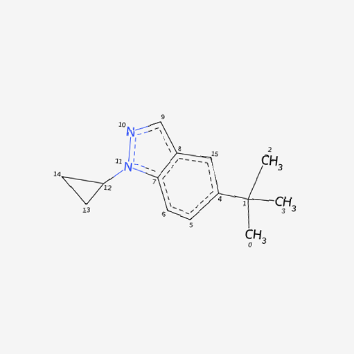 CC(C)(C)c1ccc2c(cnn2C2CC2)c1